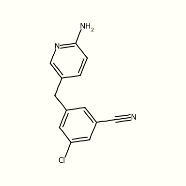 N#Cc1cc(Cl)cc(Cc2ccc(N)nc2)c1